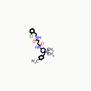 Cc1ccc(CC2(N(C)C)CCC(NC(=O)CCC(=O)NCCc3ccccc3Cl)CC2)cc1